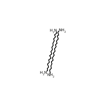 NCCCCCCCCCCCCCCCCCCCCN.NCCCCCCCCCCCCCCCCCCCN